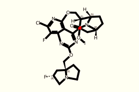 O=C(OI)N1[C@@H]2CC[C@H]1[C@H]1COc3nc(Cl)c(F)c4nc(OC[C@@]56CCCN5C[C@H](F)C6)nc(c34)N1C2